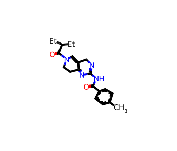 CCC(CC)C(=O)N1C=C2CN=C(NC(=O)c3ccc(C)cc3)N=C2CC1